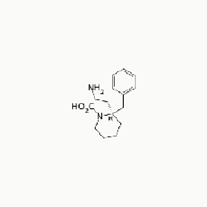 NCC[C@]1(Cc2ccccc2)CCCCN1C(=O)O